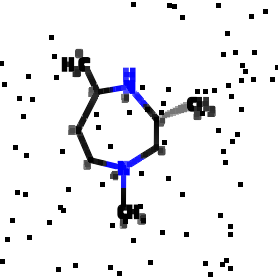 CC1CCN(C)C[C@@H](C)N1